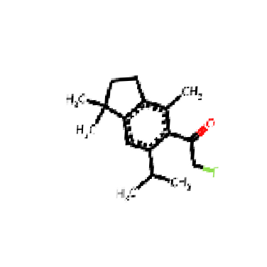 Cc1c2c(cc(C(C)C)c1C(=O)CF)C(C)(C)CC2